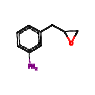 Pc1cccc(CC2CO2)c1